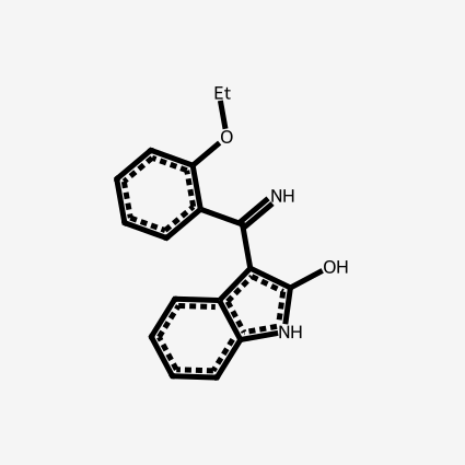 CCOc1ccccc1C(=N)c1c(O)[nH]c2ccccc12